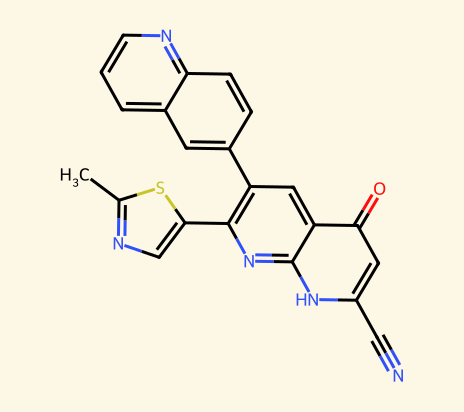 Cc1ncc(-c2nc3[nH]c(C#N)cc(=O)c3cc2-c2ccc3ncccc3c2)s1